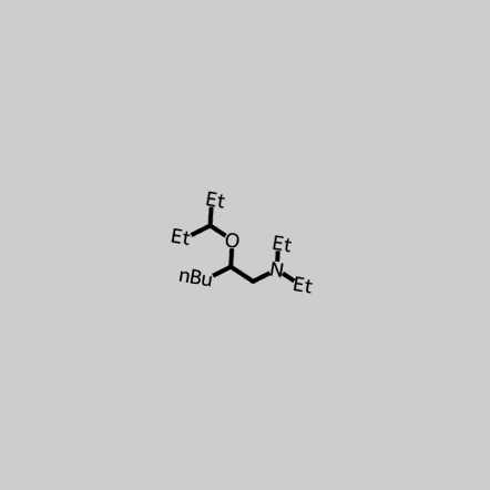 CCCCC(CN(CC)CC)OC(CC)CC